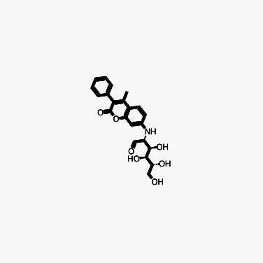 Cc1c(-c2ccccc2)c(=O)oc2cc(N[C@@H](C=O)[C@@H](O)[C@H](O)[C@H](O)CO)ccc12